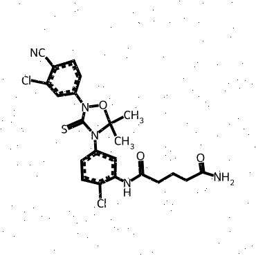 CC1(C)ON(c2ccc(C#N)c(Cl)c2)C(=S)N1c1ccc(Cl)c(NC(=O)CCCC(N)=O)c1